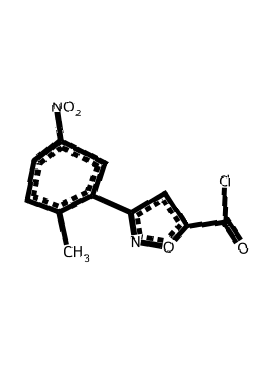 Cc1ccc([N+](=O)[O-])cc1-c1cc(C(=O)Cl)on1